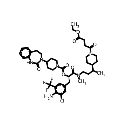 CCOC(=O)CCC(=O)N1CCC(C(C)CCN(C)C(=O)[C@@H](Cc2cc(Cl)c(N)c(C(F)(F)F)c2)OC(=O)N2CCC(N3CCc4ccccc4NC3=O)CC2)CC1